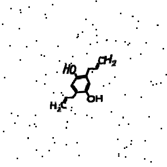 C=CCc1cc(O)c(CC=C)cc1O